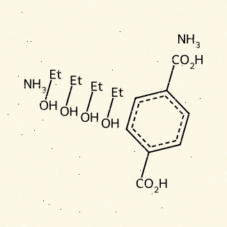 CCO.CCO.CCO.CCO.N.N.O=C(O)c1ccc(C(=O)O)cc1